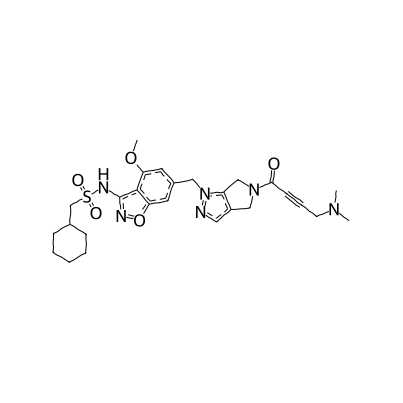 COc1cc(Cn2ncc3c2CN(C(=O)C#CCN(C)C)C3)cc2onc(NS(=O)(=O)CC3CCCCC3)c12